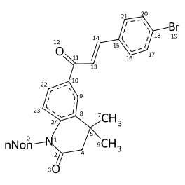 CCCCCCCCCN1C(=O)CC(C)(C)c2cc(C(=O)C=Cc3ccc(Br)cc3)ccc21